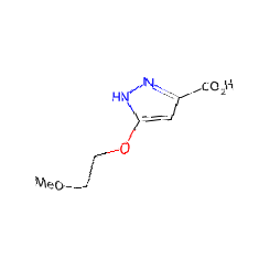 COCCOc1cc(C(=O)O)n[nH]1